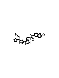 COc1ccc2cc([C@H](C)C(=O)n3ccc4c(-c5cnn([C@H](CC#N)C6CCCC6)c5)ncnc43)ccc2c1